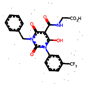 O=C(O)CNC(=O)c1c(O)n(-c2cccc(C(F)(F)F)c2)c(=O)n(Cc2ccccc2)c1=O